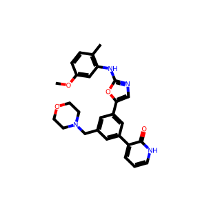 COc1ccc(C)c(Nc2ncc(-c3cc(CN4CCOCC4)cc(-c4ccc[nH]c4=O)c3)o2)c1